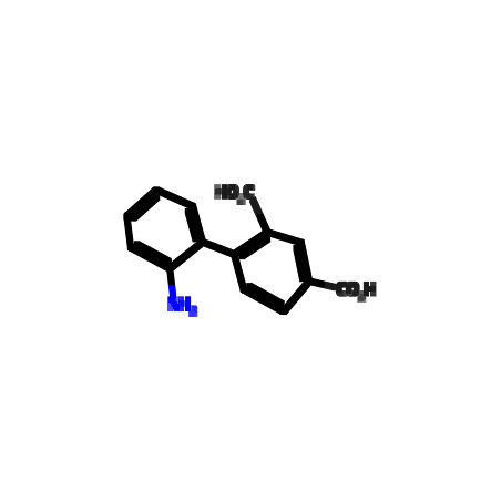 Nc1ccccc1-c1ccc(C(=O)O)cc1C(=O)O